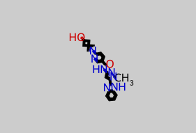 Cn1nc(NC(=O)c2ccc(N3CC4(CC(O)C4)C3)nc2)cc1-c1nc2ccccc2[nH]1